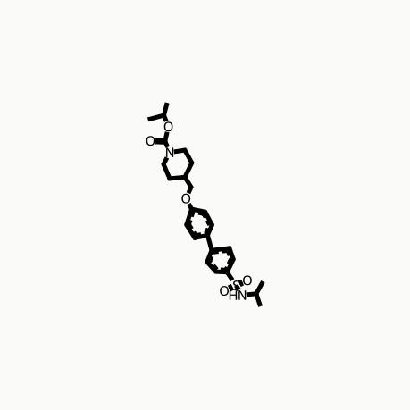 CC(C)NS(=O)(=O)c1ccc(-c2ccc(OCC3CCN(C(=O)OC(C)C)CC3)cc2)cc1